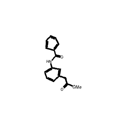 COC(=O)Cc1cccc(NC(=O)c2ccccc2)c1